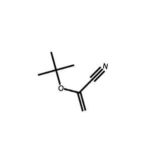 C=C(C#N)OC(C)(C)C